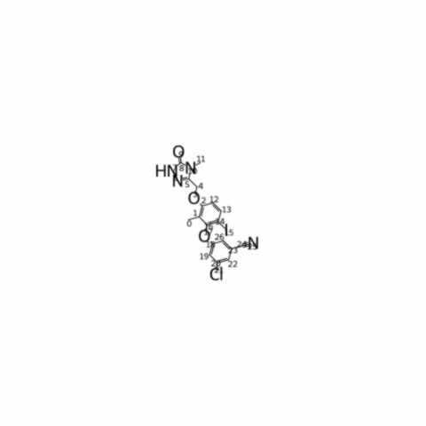 Cc1c(OCc2n[nH]c(=O)n2C)ccc(I)c1Oc1cc(Cl)cc(C#N)c1